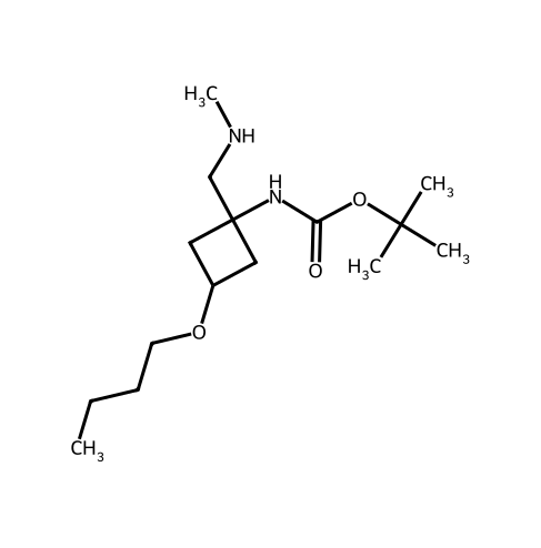 CCCCOC1CC(CNC)(NC(=O)OC(C)(C)C)C1